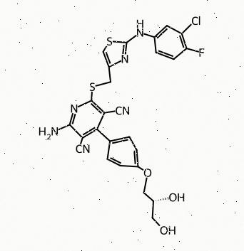 N#Cc1c(N)nc(SCc2csc(Nc3ccc(F)c(Cl)c3)n2)c(C#N)c1-c1ccc(OC[C@H](O)CO)cc1